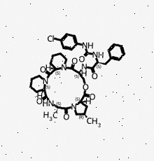 C[C@@H]1C[C@H]2C(=O)OC[C@H](NC(=O)[C@H](Cc3ccccc3)NC(=O)Nc3ccc(Cl)cc3)C(=O)N3CCCC[C@H]3C(=O)N3CCCC[C@H]3C(=O)N[C@@H](C)C(=O)N2C1